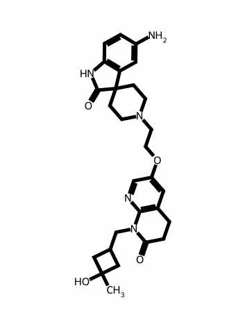 CC1(O)CC(CN2C(=O)CCc3cc(OCCN4CCC5(CC4)C(=O)Nc4ccc(N)cc45)cnc32)C1